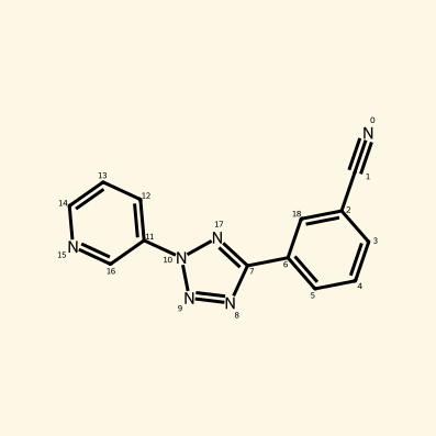 N#Cc1cccc(-c2nnn(-c3cccnc3)n2)c1